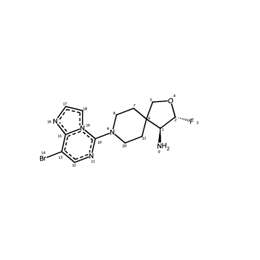 N[C@@H]1[C@@H](F)OCC12CCN(c1ncc(Br)c3nccn13)CC2